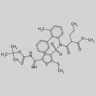 CCCC(C(=O)OC)C(=O)N(c1cccc(C)c1-c1ccccc1)S(=O)(=O)c1cc(C(=N)NC(=O)OC(C)(C)C)sc1SC